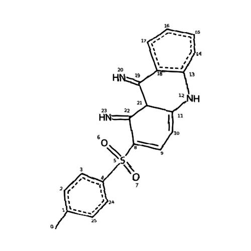 Cc1ccc(S(=O)(=O)C2=CC=C3Nc4ccccc4C(=N)C3C2=N)cc1